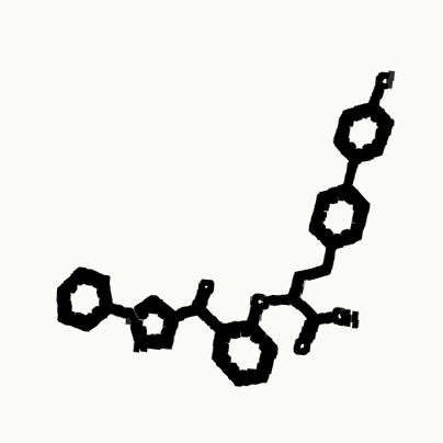 O=C(c1cnn(-c2ccccc2)c1)c1ccccc1OC(CCc1ccc(-c2ccc(Cl)cc2)cc1)C(=O)O